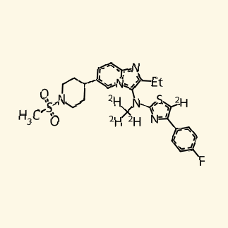 [2H]c1sc(N(c2c(CC)nc3ccc(C4CCN(S(C)(=O)=O)CC4)cn23)C([2H])([2H])[2H])nc1-c1ccc(F)cc1